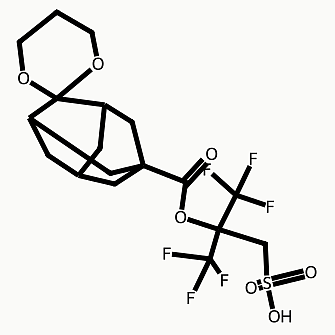 O=C(OC(CS(=O)(=O)O)(C(F)(F)F)C(F)(F)F)C12CC3CC(C1)C1(OCCCO1)C(C3)C2